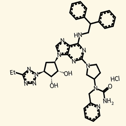 CCc1nnn([C@H]2C[C@@H](n3cnc4c(NCC(c5ccccc5)c5ccccc5)nc(N5CCC(N(Cc6ccccn6)C(N)=O)C5)nc43)[C@H](O)[C@@H]2O)n1.Cl